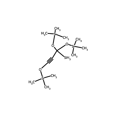 C[Si](C)(C)OC#CC([SiH3])(O[Si](C)(C)C)O[Si](C)(C)C